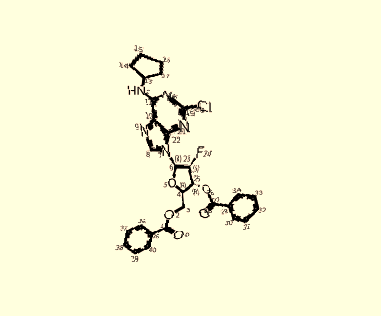 O=C(OC[C@H]1O[C@@H](n2cnc3c(NC4CCCC4)nc(Cl)nc32)[C@@H](F)[C@@H]1OC(=O)c1ccccc1)c1ccccc1